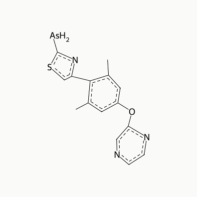 Cc1cc(Oc2cnccn2)cc(C)c1-c1csc([AsH2])n1